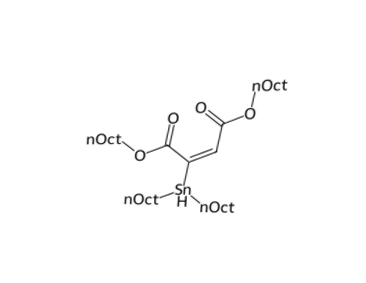 CCCCCCCCOC(=O)/C=[C](\C(=O)OCCCCCCCC)[SnH]([CH2]CCCCCCC)[CH2]CCCCCCC